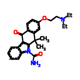 CCN(CC)CCOc1ccc2c(c1)C(C)(C)c1c(c3cc[c]cc3n1C(N)=O)C2=O